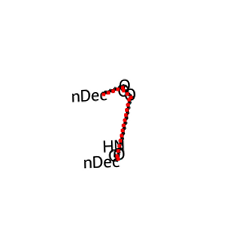 CCCCCCCCCCCCCCCCCC(=O)OCCOC(C)CCCCCCCCCCCCCCCCCCNCCOC(=O)CCCCCCCCCCC